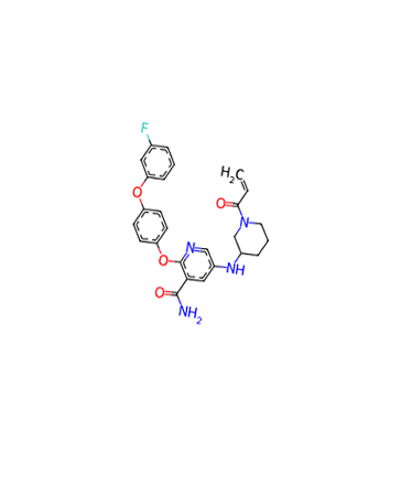 C=CC(=O)N1CCCC(Nc2cnc(Oc3ccc(Oc4cccc(F)c4)cc3)c(C(N)=O)c2)C1